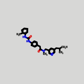 Cc1ccccc1NC(=O)Nc1ccc(CC(=O)N(C)Cc2cncc(CC(C)C(=O)O)c2)cc1